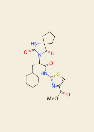 COC(=O)c1csc(NC(=O)[C@H](CC2CCCCC2)N2C(=O)NC3(CCCC3)C2=O)n1